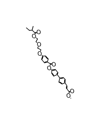 CCC(C)C(=O)OCCOCCOc1ccc(C(=O)Oc2ccc(-c3ccc(/C=C/C(=O)OC)cc3)cc2)cc1